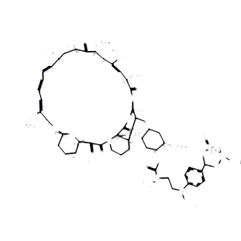 CO[C@H]1C[C@@H]2CC[C@@H](C)[C@@](O)(O2)C(=O)C(=O)N2CCC[C@@H]3C(C[C@@H]4CC[C@@H](OC(=O)N(C)CCN(C)c5ccc(C(OP(O)O)O[PH](=O)O)cc5)[C@H](OC)C4)[C@H](CC(=O)[C@H](C)/C=C(\C)[C@@H](O)[C@@H](OC)C(=O)[C@H](C)C[C@H](C)/C=C/C=C/C=C/1C)OC(=O)[C@H]32